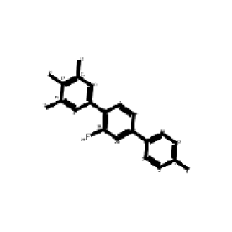 Cc1ccc(-c2ccc(-c3cc(C)c(C)c(C)c3)c(F)c2)cc1